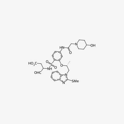 CSc1nc2ccccc2n1C[C@@H](C)Oc1cc(NC(=O)CN2CCC(O)CC2)ccc1S(=O)(=O)NC(C=O)CC(=O)O